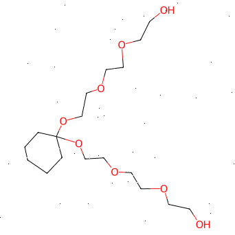 OCCOCCOCCOC1(OCCOCCOCCO)CCCCC1